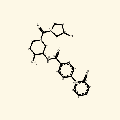 NC1CCN(C(=O)N2CCC(O)C2)CC1NC(=O)c1ccc(-n2ccccc2=O)cc1